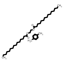 CCCCCCCCCCCCCCC(=O)OCCOC(=O)CCCCCCCCCCCCCC.Cc1ccc(C)cc1